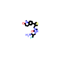 CN1C(=O)CCc2cc(-c3cscc3Cn3cnn(C/C(=C/F)CN)c3=O)ccc21